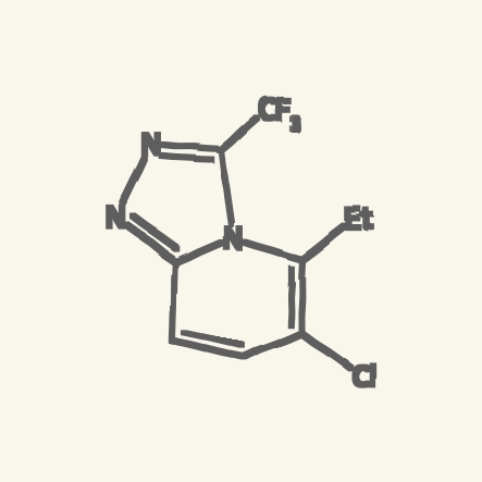 CCc1c(Cl)ccc2nnc(C(F)(F)F)n12